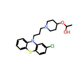 CC(O)OC1CCN(CCCN2c3ccccc3Sc3ccc(Cl)cc32)CC1